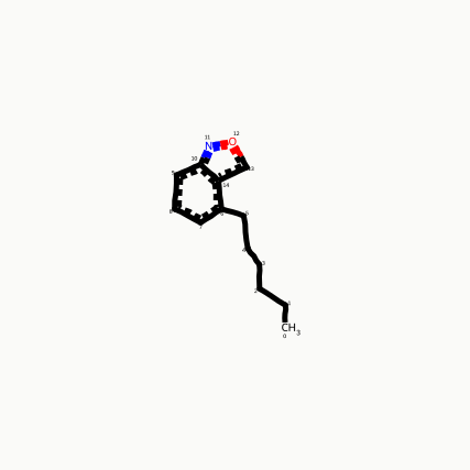 CCCCCCc1cccc2nocc12